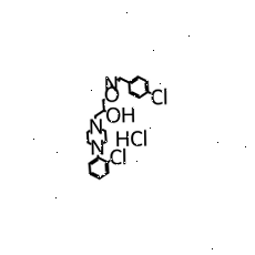 Cl.OC(CO/N=C\c1ccc(Cl)cc1)CN1CCN(c2ccccc2Cl)CC1